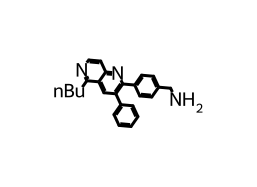 CCCCc1nccc2nc(-c3ccc(CN)cc3)c(-c3ccccc3)cc12